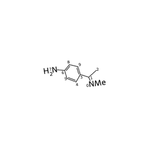 CNC(C)c1ccc(N)cc1